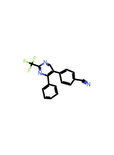 N#Cc1ccc(-c2cnc(C(F)(F)F)nc2-c2ccccc2)cc1